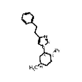 CC(C)[C@@H]1CC[C@@H](C)C[C@H]1n1cc(CCc2ccccc2)nn1